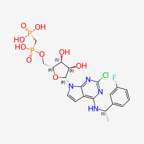 C[C@H](Nc1nc(Cl)nc2c1ccn2[C@@H]1O[C@H](COP(=O)(O)CP(=O)(O)O)[C@@H](O)[C@H]1O)c1cccc(F)c1